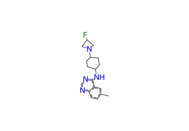 Cc1ccc2ncnc(NC3CCC(N4CC(F)C4)CC3)c2c1